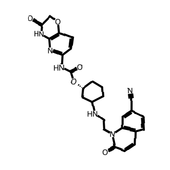 N#Cc1ccc2ccc(=O)n(CCNC3CCC[C@@H](OC(=O)Nc4ccc5c(n4)NC(=O)CO5)C3)c2c1